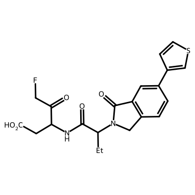 CCC(C(=O)NC(CC(=O)O)C(=O)CF)N1Cc2ccc(-c3ccsc3)cc2C1=O